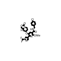 COc1nc(-c2cnn(C(F)F)c2)c(O[C@H]2CCN3C(=O)OC[C@@H]3C2)cc1C(=O)NCc1ccc(Cl)cc1